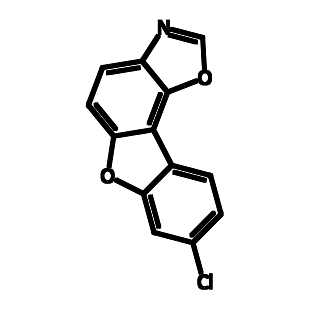 Clc1ccc2c(c1)oc1ccc3ncoc3c12